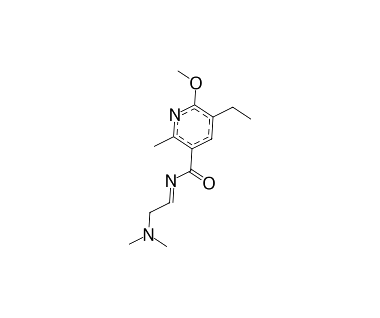 CCc1cc(C(=O)N=CCN(C)C)c(C)nc1OC